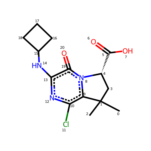 CC1(C)C[C@@H](C(=O)O)n2c1c(Cl)nc(NC1CCC1)c2=O